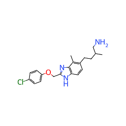 Cc1c(CCC(C)CN)ccc2[nH]c(COc3ccc(Cl)cc3)nc12